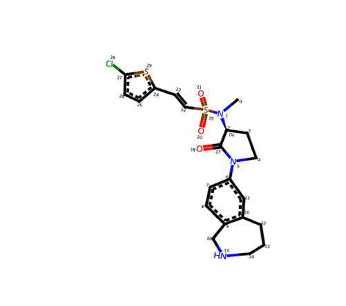 CN([C@H]1CCN(c2ccc3c(c2)CCCNC3)C1=O)S(=O)(=O)C=Cc1ccc(Cl)s1